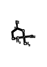 CC[C@H](CO)O[Si](C)(C)C(C)(C)C